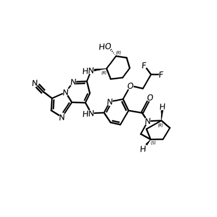 N#Cc1cnc2c(Nc3ccc(C(=O)N4C[C@H]5CC[C@@H]4C5)c(OCC(F)F)n3)cc(N[C@@H]3CCCC[C@H]3O)nn12